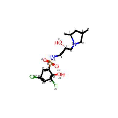 CC1CC(C)N(C[C@@H](O)CNS(=O)(=O)c2cc(Cl)cc(Cl)c2O)C1